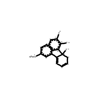 CCCCCc1cccc(C2=CC=CCC2(F)c2cccc(F)c2F)c1